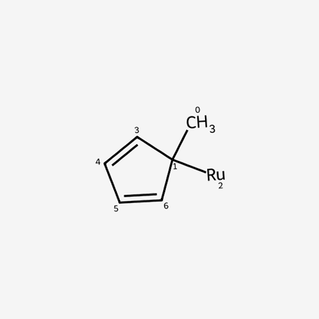 C[C]1([Ru])C=CC=C1